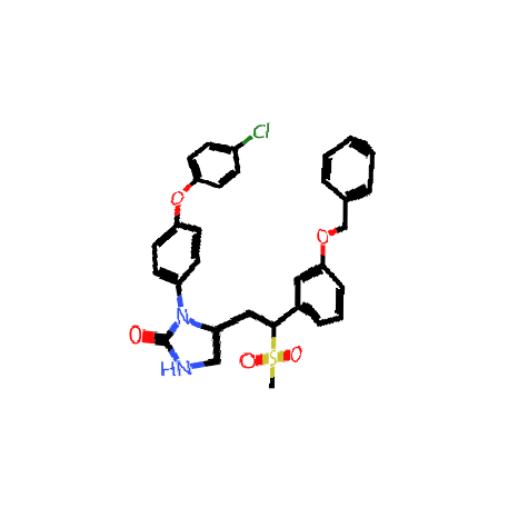 CS(=O)(=O)C(CC1CNC(=O)N1c1ccc(Oc2ccc(Cl)cc2)cc1)c1cccc(OCc2ccccc2)c1